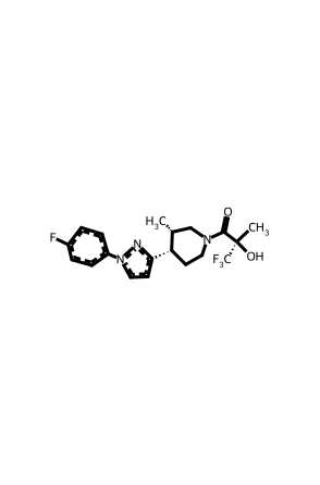 C[C@@H]1CN(C(=O)[C@@](C)(O)C(F)(F)F)CC[C@@H]1c1ccn(-c2ccc(F)cc2)n1